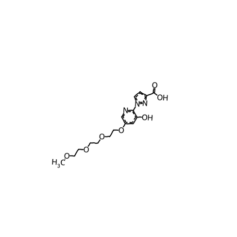 COCCOCCOCCOc1cnc(-n2ccc(C(=O)O)n2)c(O)c1